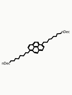 CCCCCCCCCCCCCCCCCCc1ccc2ccc3c(CCCCCCCCCCCCCCCCCC)ccc4ccc1c2c43